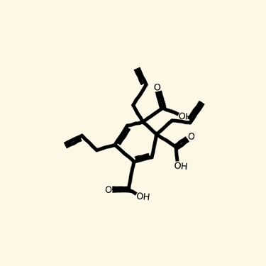 C=CCC1=CC(CC=C)(C(=O)O)C(CC=C)(C(=O)O)C=C1C(=O)O